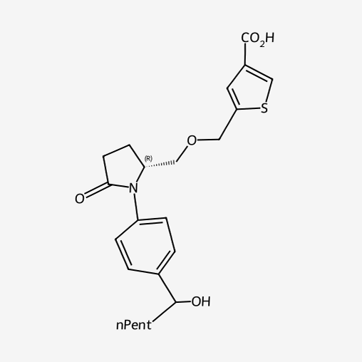 CCCCCC(O)c1ccc(N2C(=O)CC[C@@H]2COCc2cc(C(=O)O)cs2)cc1